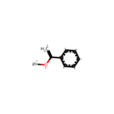 C=C(OC(C)C)c1ccccc1